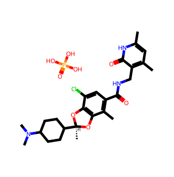 Cc1cc(C)c(CNC(=O)c2cc(Cl)c3c(c2C)O[C@@](C)(C2CCC(N(C)C)CC2)O3)c(=O)[nH]1.O=P(O)(O)O